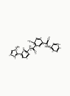 CC(C)n1cnnc1-c1cccc(NC(=O)c2cc(C(=O)Nc3cccnc3)ccc2F)n1